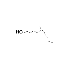 CCCCCC(C)CCCCCO